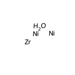 O.[Ni].[Ni].[Zr]